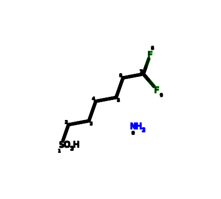 N.O=S(=O)(O)CCCCCC(F)F